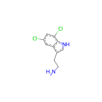 NCCc1c[nH]c2c(Cl)cc(Cl)cc12